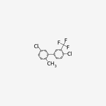 Cc1ccc(Cl)cc1-c1ccc(Cl)c(C(F)(F)F)c1